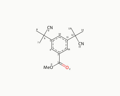 COC(=O)c1cc(C(C)(C)C#N)cc(C(C)(C)C#N)c1